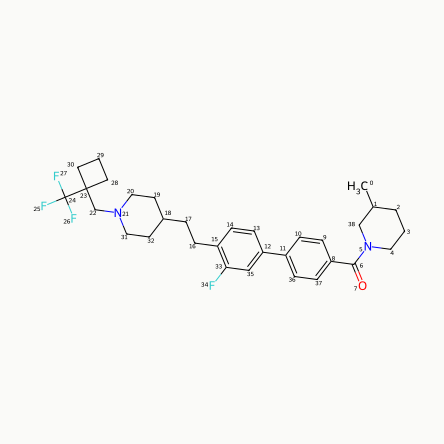 CC1CCCN(C(=O)c2ccc(-c3ccc(CCC4CCN(CC5(C(F)(F)F)CCC5)CC4)c(F)c3)cc2)C1